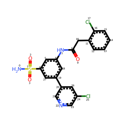 NS(=O)(=O)c1cc(NC(=O)Cc2ccccc2Cl)cc(-c2cncc(Cl)c2)c1